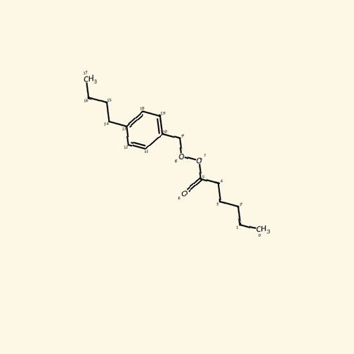 CCCCCC(=O)OOCc1ccc(CCCC)cc1